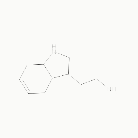 NCCC1CNC2CC=CCC12